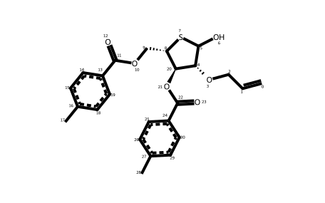 C=CCO[C@H]1C(O)S[C@@H](COC(=O)c2ccc(C)cc2)[C@@H]1OC(=O)c1ccc(C)cc1